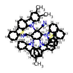 Cc1ccc2c(c1)c1ccc3c4ccccc4sc3c1n2-c1c(-n2c3ccccc3c3ccccc32)c(C#N)c(-n2c3cc(C)c(C)cc3c3ccc4c5ccccc5sc4c32)c(C#N)c1-n1c2ccccc2c2ccccc21